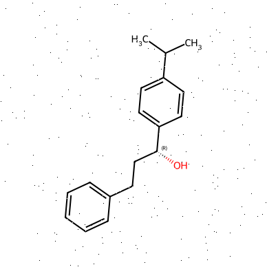 CC(C)c1ccc([C@H](O)CCc2ccccc2)cc1